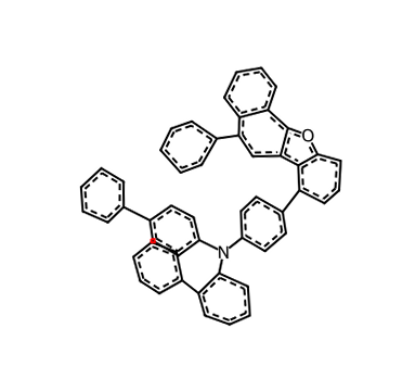 c1ccc(-c2ccc(N(c3ccc(-c4cccc5oc6c7ccccc7c(-c7ccccc7)cc6c45)cc3)c3ccccc3-c3ccccc3)cc2)cc1